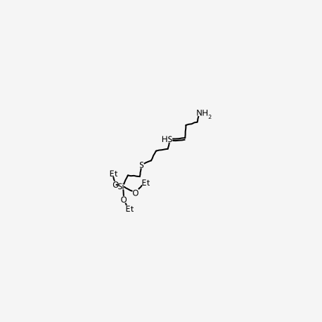 CCO[Si](CCSCCC[SH]=CCCN)(OCC)OCC